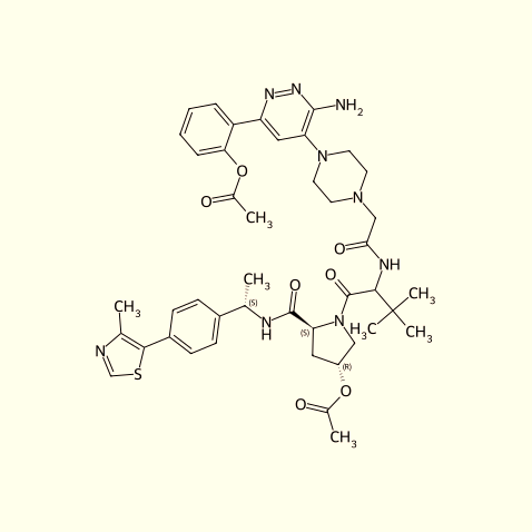 CC(=O)Oc1ccccc1-c1cc(N2CCN(CC(=O)NC(C(=O)N3C[C@H](OC(C)=O)C[C@H]3C(=O)N[C@@H](C)c3ccc(-c4scnc4C)cc3)C(C)(C)C)CC2)c(N)nn1